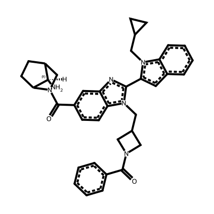 N[C@@H]1C2CCC1N(C(=O)c1ccc3c(c1)nc(-c1cc4ccccc4n1CC1CC1)n3CC1CN(C(=O)c3ccccc3)C1)C2